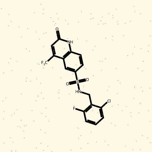 O=c1cc(C(F)(F)F)c2cc(S(=O)(=O)NCc3c(F)cccc3Cl)ccc2[nH]1